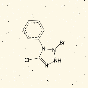 ClC1=NNN(Br)N1c1ccccc1